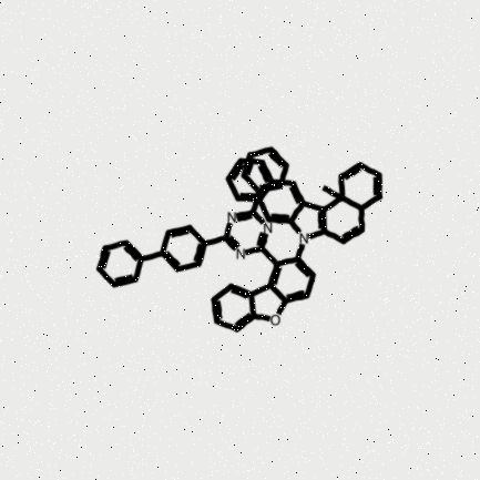 CC12C=CC=CC1C=Cc1c2c2cc3ccccc3cc2n1-c1ccc2oc3ccccc3c2c1-c1nc(-c2ccccc2)nc(-c2ccc(-c3ccccc3)cc2)n1